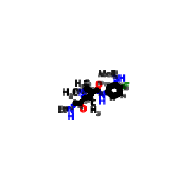 CCNCC(=O)c1c(C)c(C(=O)Nc2ccc(F)c(NSC)c2)c(C)n1C